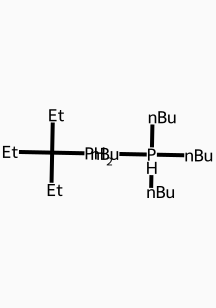 CCC(P)(CC)CC.CCCC[PH](CCCC)(CCCC)CCCC